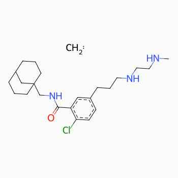 CNCCNCCCc1ccc(Cl)c(C(=O)NCC23CCCC(CCC2)C3)c1.[CH2]